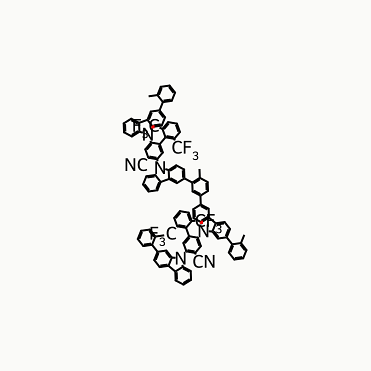 Cc1ccccc1-c1ccc2c(c1)c1ccccc1n2-c1cc(C#N)c(-n2c3ccccc3c3cc(-c4cc(-c5ccc6c(c5)c5ccc(-c7ccccc7C)cc5n6-c5cc(C#N)c(-n6c7ccccc7c7ccc(-c8ccccc8C)cc76)cc5-c5c(C(F)(F)F)cccc5C(F)(F)F)ccc4C)ccc32)cc1-c1c(C(F)(F)F)cccc1C(F)(F)F